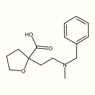 CN(CCC1(C(=O)O)CCCO1)Cc1ccccc1